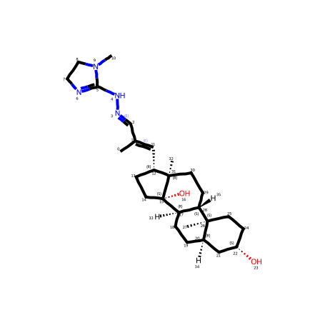 CC(/C=N/NC1=NCCN1C)=C\[C@H]1CC[C@]2(O)[C@@H]3CC[C@@H]4C[C@@H](O)CC[C@]4(C)[C@H]3CC[C@]12C